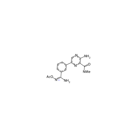 CNC(=O)c1nc(-c2cccc(/C(N)=N\OC(C)=O)c2)cnc1N